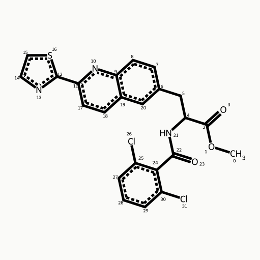 COC(=O)C(Cc1ccc2nc(-c3nccs3)ccc2c1)NC(=O)c1c(Cl)cccc1Cl